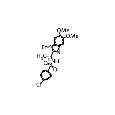 CCn1c([C@@H](C)NS(=O)(=O)c2ccc(Cl)cc2)nc2cc(OC)c(OC)cc21